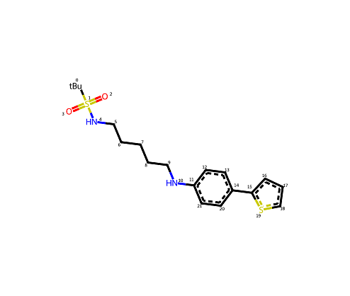 CC(C)(C)S(=O)(=O)NCCCCCNc1ccc(-c2cccs2)cc1